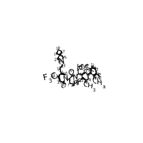 CCOC(=O)C[C@H](NC(=O)C(CC(C)C)n1cc(CCN2CC3(CCC3)C2)c(C(F)(F)F)cc1=O)c1cc(-c2c(C)ccc(F)c2C)cc(C)c1F